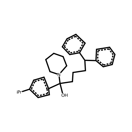 CC(C)c1ccc(C(O)(CCCC(c2ccccc2)c2ccccc2)N2CCCCC2)cc1